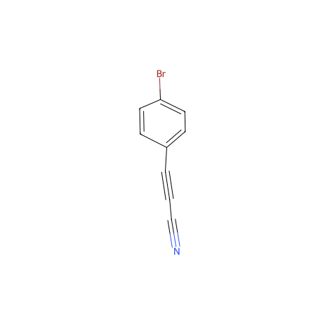 N#CC#Cc1ccc(Br)cc1